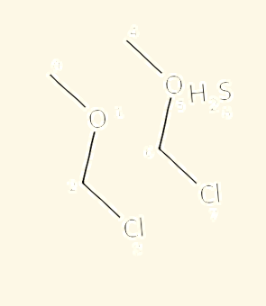 COCCl.COCCl.S